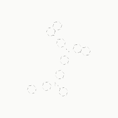 c1ccc(-c2ccc(N(c3ccccc3)c3ccc(-c4ccc5c(c4)Cc4cc(-c6cccc7ccccc67)ccc4N5c4ccc5ccccc5c4)cc3)cc2)cc1